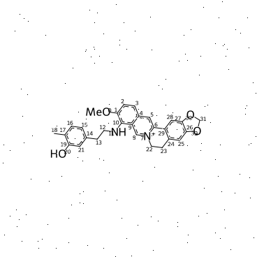 COc1ccc2cc3[n+](cc2c1NCCc1ccc(C)c(O)c1)CCc1cc2c(cc1-3)OCO2